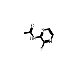 CC(=O)Nc1nccnc1F